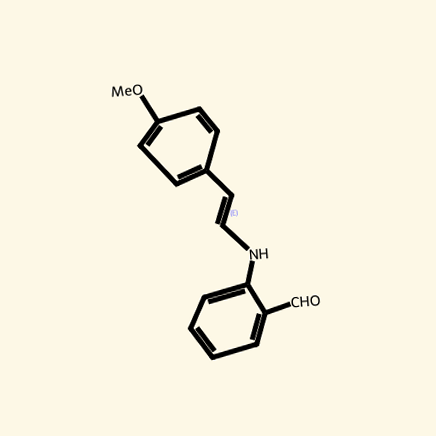 COc1ccc(/C=C/Nc2ccccc2C=O)cc1